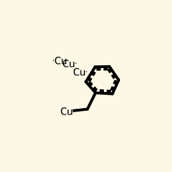 [Cu].[Cu].[Cu].[Cu][CH2]c1ccccc1